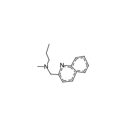 CCCN(C)Cc1ccc2ccccc2n1